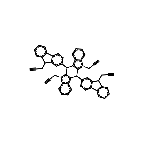 C#CCC1c2ccccc2-c2ccc(C3c4c(n(CC#C)c5ccccc45)C(c4ccc5c(c4)C(CC#C)c4ccccc4-5)c4c3n(CC#C)c3ccccc43)cc21